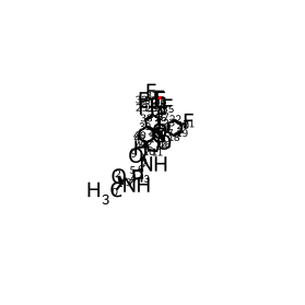 CC(=O)N[C@H]1C[C@H](NC(=O)[C@@H]2CC[C@@]3(S(=O)(=O)c4ccc(F)cc4)c4ccc(C(F)(C(F)(F)F)C(F)(F)F)cc4CC[C@@H]23)C1